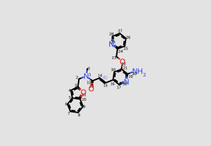 CN(Cc1cc2ccccc2o1)C(=O)/C=C/c1cnc(N)c(OCc2ccccn2)c1